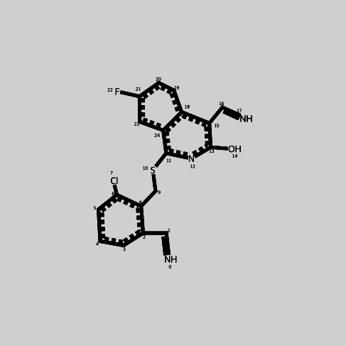 N=Cc1cccc(Cl)c1CSc1nc(O)c(C=N)c2ccc(F)cc12